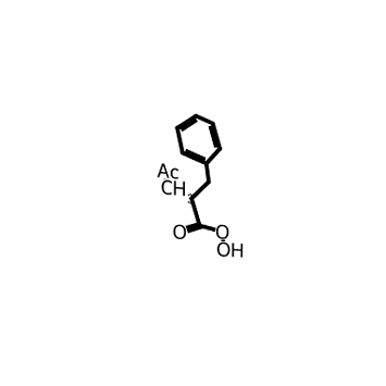 CC(C)=O.O=C(CCc1ccccc1)OO